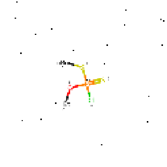 CCCCSP(=S)(Cl)OCC